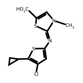 Cn1cc(C(=O)O)s/c1=N\c1cc(Cl)c(C2CC2)s1